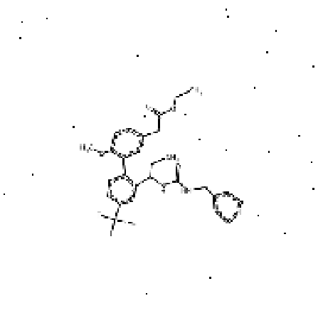 CCOC(=O)Cc1ccc(OC)c(-c2ccc(C(F)(F)F)cc2C(CC)NC(=O)NCc2ccncc2)c1